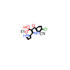 CCOC(O)c1c(-c2ccc[nH]2)[nH]c2c(C#N)c(Cl)ccc2c1=O